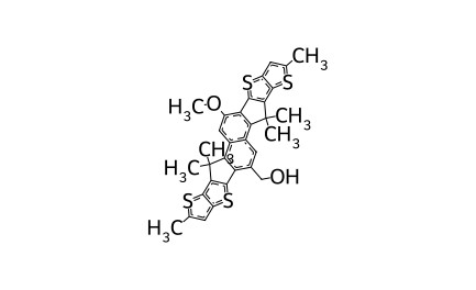 COc1cc2c3c(c(CO)cc2c2c1-c1sc4cc(C)sc4c1C2(C)C)-c1sc2cc(C)sc2c1C3(C)C